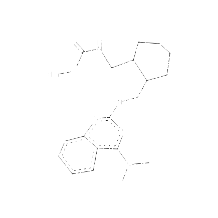 CN(C)c1nc(NCC2CCCCC2CNC(=O)OC(C)(C)C)nc2ccccc12